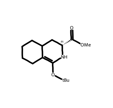 COC(=O)[C@H]1CC2CCCCC2=C(OC(C)(C)C)N1